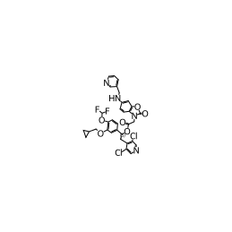 O=C(Cn1c(=O)oc2cc(NCc3cccnc3)ccc21)O[C@@H](Cc1c(Cl)cncc1Cl)c1ccc(OC(F)F)c(OCC2CC2)c1